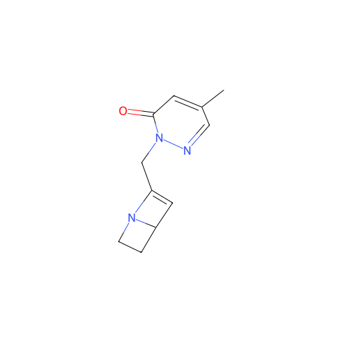 Cc1cnn(CC2=CC3CCN23)c(=O)c1